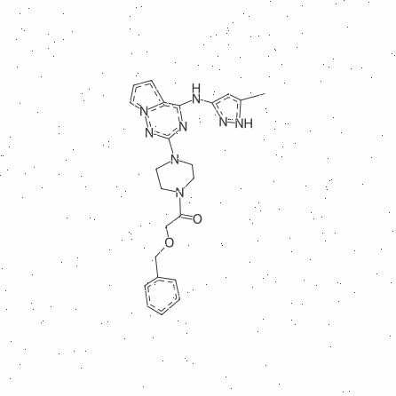 Cc1cc(Nc2nc(N3CCN(C(=O)COCc4ccccc4)CC3)nn3cccc23)n[nH]1